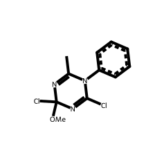 COC1(Cl)N=C(C)N(c2ccccc2)C(Cl)=N1